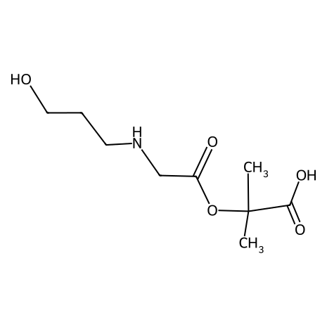 CC(C)(OC(=O)CNCCCO)C(=O)O